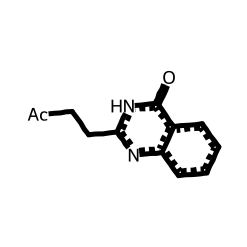 CC(=O)CCc1nc2ccccc2c(=O)[nH]1